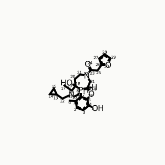 Cc1ccc(O)c2c1[PH]13CCN(CC4CC4)C(C)C1(O)CCN(C(=O)Cc1ccco1)C[C@@H]3O2